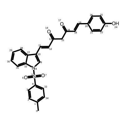 Cc1ccc(S(=O)(=O)n2cc(C=CC(=O)CC(=O)C=Cc3ccc(O)cc3)c3ccccc32)cc1